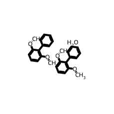 COc1cccc(OC)c1-c1ccccc1.COc1cccc(OC)c1-c1ccccc1.O